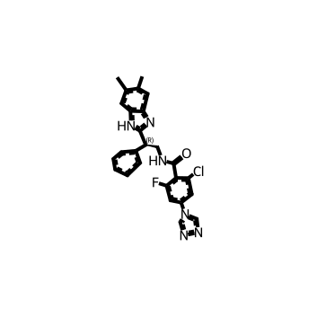 Cc1cc2nc([C@@H](CNC(=O)c3c(F)cc(-n4cnnc4)cc3Cl)c3ccccc3)[nH]c2cc1C